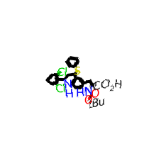 CC(C)(C)OC(=O)N[C@H](Cc1ccc2c(c1)C(Sc1ccccc1)CC(c1c(Cl)cccc1Cl)N2)C(=O)O